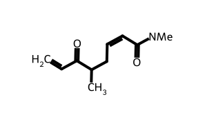 C=CC(=O)C(C)C/C=C\C(=O)NC